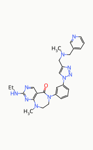 CCNc1ncc2c(n1)N(C)CCN(c1cccc(-n3cc(CN(C)Cc4cccnc4)nn3)c1)C2=O